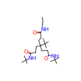 CCCNC(=O)CCC(CCC(=O)NC(C)(C)C)(CCC(=O)NC(C)(C)C)C(C)(C)C